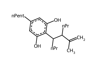 C=C(C)C(CCC)C(CCC)c1c(O)cc(CCCCC)cc1O